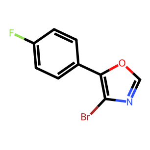 Fc1ccc(-c2ocnc2Br)cc1